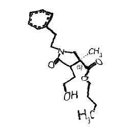 CCCCOC(=O)[C@]1(C)CN(CCc2ccccc2)C(=O)C1CCO